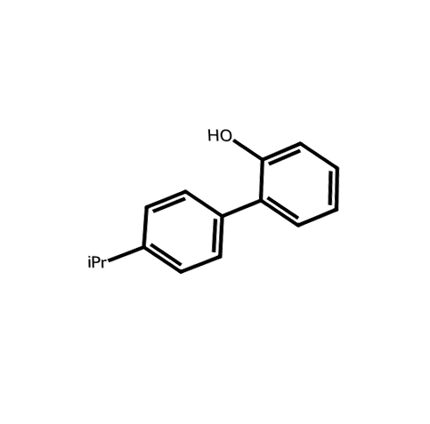 CC(C)c1ccc(-c2ccccc2O)cc1